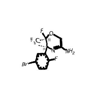 C[C@@]1(c2cc(Br)ccc2F)N=C(N)CO[C@@]1(F)C(F)(F)F